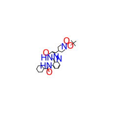 CC(C)(C)OC(=O)N1CCC(c2cc(=O)[nH]c3c4c(NC(=O)C5CCCCC5)cccc4nn23)CC1